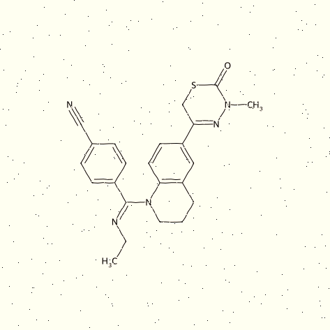 CC/N=C(/c1ccc(C#N)cc1)N1CCCc2cc(C3=NN(C)C(=O)SC3)ccc21